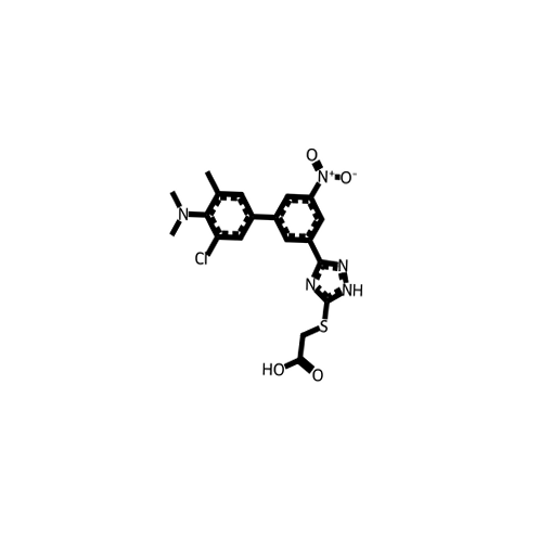 Cc1cc(-c2cc(-c3n[nH]c(SCC(=O)O)n3)cc([N+](=O)[O-])c2)cc(Cl)c1N(C)C